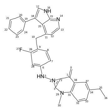 C=C1C2=C(N2Nc2ccc(Cc3ccnc4[nH]cc(-c5ccccc5)c34)c(F)c2)N(C)c2ccc(CC)cc21